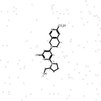 CCOC(=O)c1cc2c(cn1)CN(c1cc(F)nc(N3CCCC3CO)c1)CC2